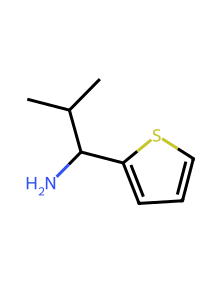 CC(C)C(N)c1cccs1